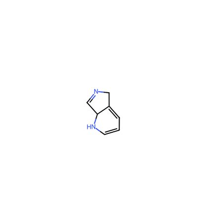 C1=CNC2C=NCC2=C1